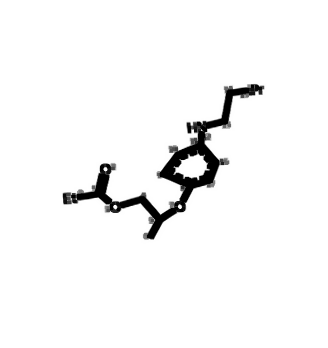 CCC(=O)OCC(C)Oc1ccc(NCCC(C)C)cc1